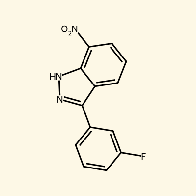 O=[N+]([O-])c1cccc2c(-c3cccc(F)c3)n[nH]c12